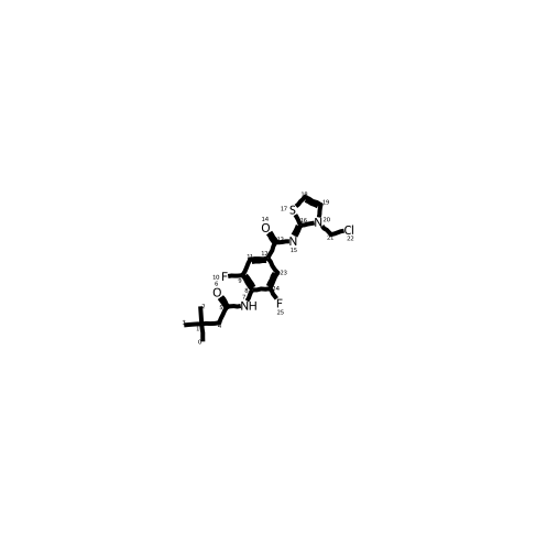 CC(C)(C)CC(=O)Nc1c(F)cc(C(=O)N=c2sccn2CCl)cc1F